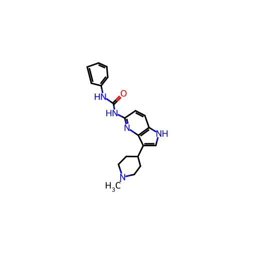 CN1CCC(c2c[nH]c3ccc(NC(=O)Nc4ccccc4)nc23)CC1